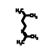 CC(C)=NCCC(C)C